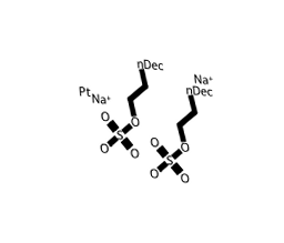 CCCCCCCCCCCCOS(=O)(=O)[O-].CCCCCCCCCCCCOS(=O)(=O)[O-].[Na+].[Na+].[Pt]